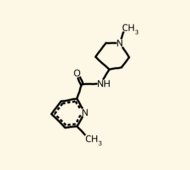 Cc1cccc(C(=O)NC2CCN(C)CC2)n1